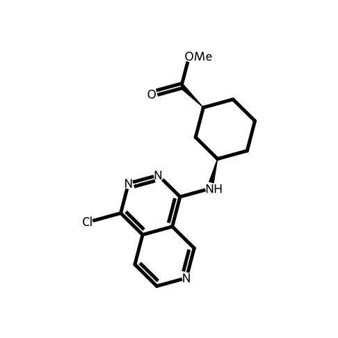 COC(=O)[C@H]1CCC[C@@H](Nc2nnc(Cl)c3ccncc23)C1